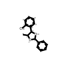 CC1OC(c2ccccc2)OC1c1ccccc1Cl